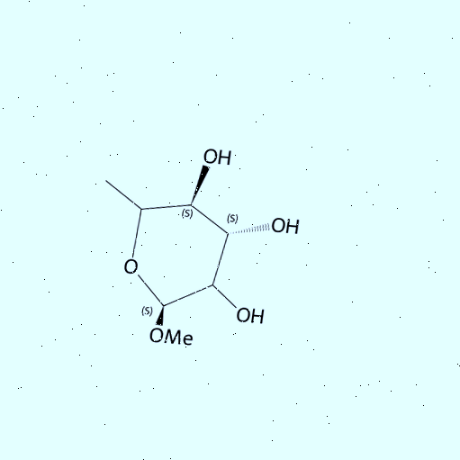 CO[C@H]1OC(C)[C@@H](O)[C@H](O)C1O